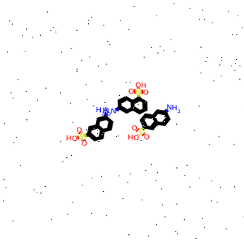 Nc1ccc2c(S(=O)(=O)O)cccc2c1.Nc1ccc2cc(S(=O)(=O)O)ccc2c1.Nc1ccc2ccc(S(=O)(=O)O)cc2c1